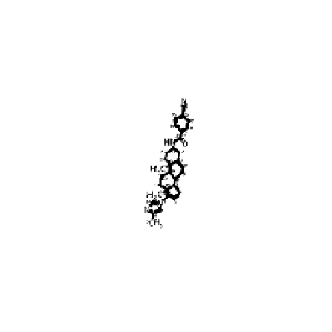 Cc1cn(C2=CCC3C4CC=C5CC(NC(=O)c6ccc(C#N)cc6)CCC5(C)C4CCC23C)cn1